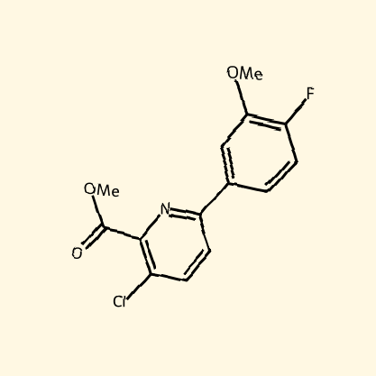 COC(=O)c1nc(-c2ccc(F)c(OC)c2)ccc1Cl